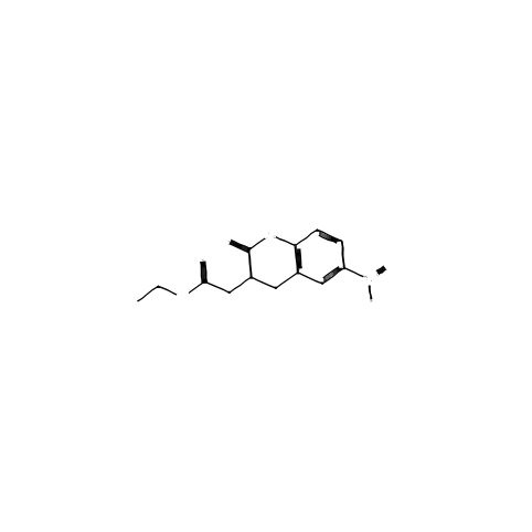 CCOC(=O)CC1Cc2cc([N+](=O)[O-])ccc2NC1=O